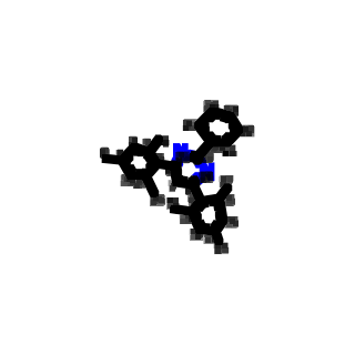 Cc1cc(C)c(-c2cc(-c3c(C)cc(C)cc3C)nc(-c3ccccc3)n2)c(C)c1